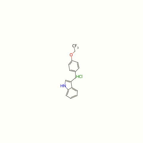 Cl.FC(F)(F)COc1ccc([CH]c2c[nH]c3ccccc23)cc1